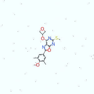 COc1c(C)cc(-c2nc3c(OC4COC4)nc(SC)nc3o2)cc1C